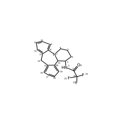 O=C(NC1CCCN2c3ccccc3Cc3ccccc3C12)C(F)(F)F